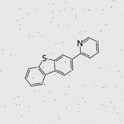 [c]1cccc2sc3cc(-c4ccccn4)ccc3c12